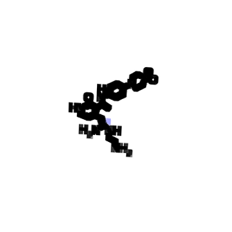 C=C(Nc1ccc(N2CCS(=O)(=O)CC2)cc1)c1c(/C=C(\N)NCCN)cc[nH]c1=O